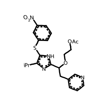 CC(=O)OCCOC(Cc1cccnc1)c1nc(C(C)C)c(Sc2cccc([N+](=O)[O-])c2)[nH]1